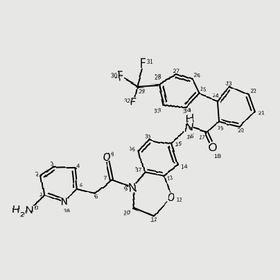 Nc1cccc(CC(=O)N2CCOc3cc(NC(=O)c4ccccc4-c4ccc(C(F)(F)F)cc4)ccc32)n1